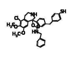 COc1cc2c(c(Cl)c1OC)CCNCC2(OC(=O)NCc1ccccc1)c1ccc(Cc2ccc(S)cc2)cc1